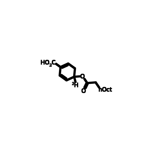 [2H]C1(OC(=O)CCCCCCCCC)C=CC(C(=O)O)=CC1